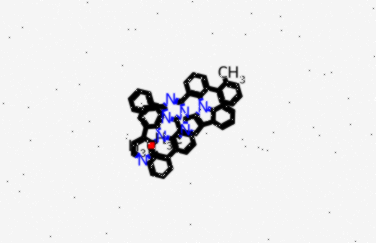 CC1=C(c2cccc(-c3nc(C4=C(N5C6=C(CN(C)C6)C6C=CC=CC65)C(c5ccccc5C)=CCC4)nc(-c4ccccc4)n3)c2-n2c3ccccc3c3ccncc32)CCC=C1